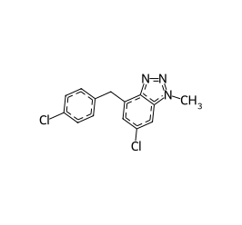 Cn1nnc2c(Cc3ccc(Cl)cc3)cc(Cl)cc21